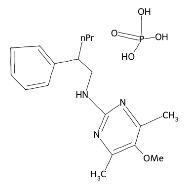 CCCC(CNc1nc(C)c(OC)c(C)n1)c1ccccc1.O=P(O)(O)O